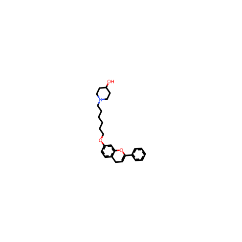 OC1CCN(CCCCCCOc2ccc3c(c2)OC(c2ccccc2)=CC3)CC1